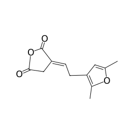 Cc1cc(CC=C2CC(=O)OC2=O)c(C)o1